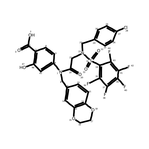 O=C(O)c1ccc(N(Cc2ccc3c(c2)OCCO3)C(=O)CN(Cc2ccc(Cl)cc2)S(=O)(=O)c2c(F)c(F)c(F)c(F)c2F)cc1O